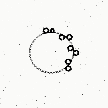 c1ccc2c(c1)COCCCCCOCCCCCOCCCCCOCCCCCOc1ccccc1-c1ccccc1COc1ccccc1-c1ccccc1COc1ccccc1-c1ccccc1COc1ccccc1-2